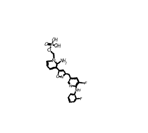 NC1C(c2cc(Cc3cnc(Nc4ccccc4F)c(F)c3)no2)=CC=CN1COP(=O)(O)O